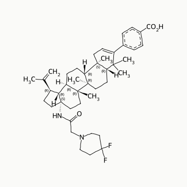 C=C(C)[C@@H]1CC[C@]2(NC(=O)CN3CCC(F)(F)CC3)CC[C@]3(C)[C@H](CC[C@@H]4[C@@]5(C)CC=C(c6ccc(C(=O)O)cc6)C(C)(C)[C@@H]5CC[C@]43C)[C@@H]12